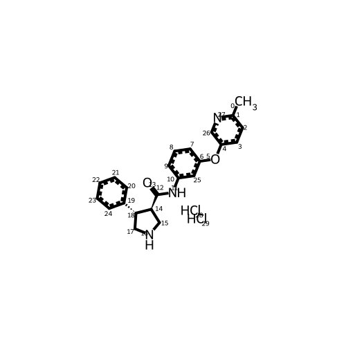 Cc1ccc(Oc2cccc(NC(=O)[C@H]3CNC[C@@H]3c3ccccc3)c2)cn1.Cl.Cl